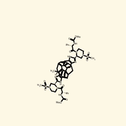 COC(=O)N[C@H](C(=O)N1CCN(S(C)(=O)=O)C[C@H]1c1nc2cc(-c3cc4ccc3CCc3ccc(c(-c5ccc6[nH]c([C@@H]7CN(S(C)(=O)=O)CCN7C(=O)[C@@H](NC(=O)OC)C(C)C)nc6c5)c3)C[C@H]4C)ccc2[nH]1)C(C)C